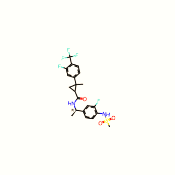 C[C@@H](NC(=O)C1CC1(C)c1ccc(C(F)(F)F)c(F)c1)c1ccc(NS(C)(=O)=O)c(F)c1